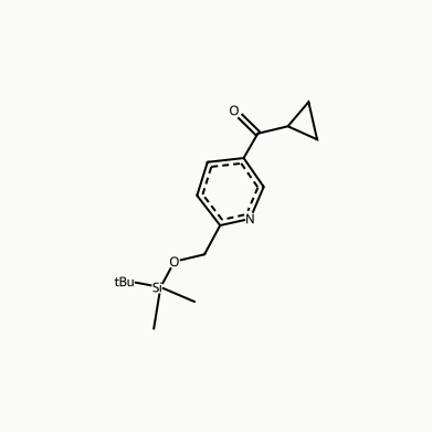 CC(C)(C)[Si](C)(C)OCc1ccc(C(=O)C2CC2)cn1